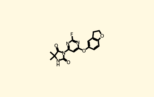 CC1(C)NC(=O)N(c2cc(Oc3ccc4c(c3)CCO4)nc(F)n2)C1=O